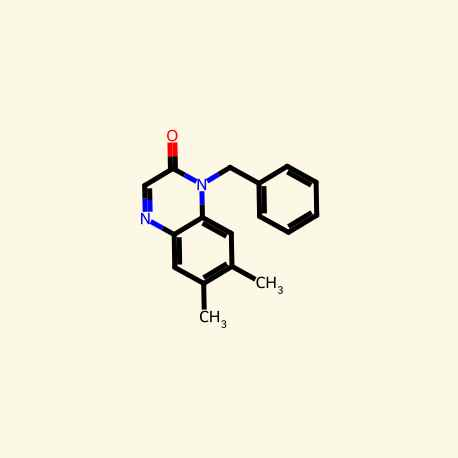 Cc1cc2ncc(=O)n(Cc3ccccc3)c2cc1C